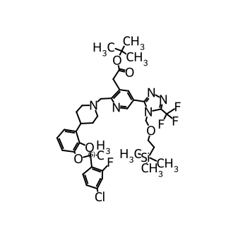 CC(C)(C)OC(=O)Cc1cc(-c2nnc(C(F)(F)F)n2COCC[Si](C)(C)C)cnc1CN1CCC(c2cccc3c2O[C@@](C)(c2ccc(Cl)cc2F)O3)CC1